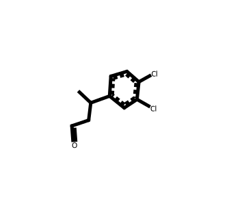 CC(CC=O)c1ccc(Cl)c(Cl)c1